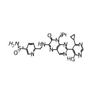 CC(C)n1c(=O)c(NCc2ccc([S+](N)[O-])cn2)nc2cnc(-c3c(O)ncnc3C3CC3)nc21